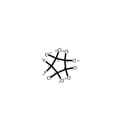 FC1(F)C(Cl)(Cl)C(Cl)(Cl)C(Cl)(Cl)C1(Cl)Cl